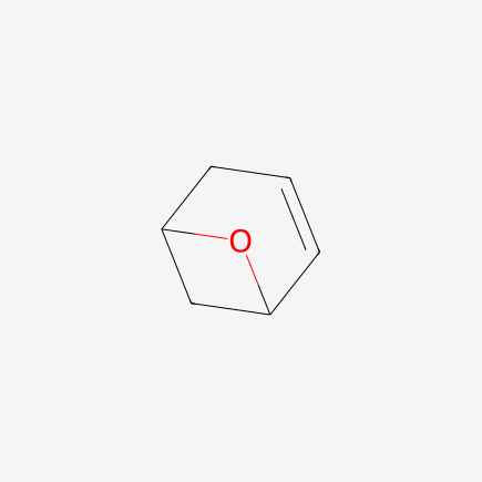 C1=CC2CC(C1)O2